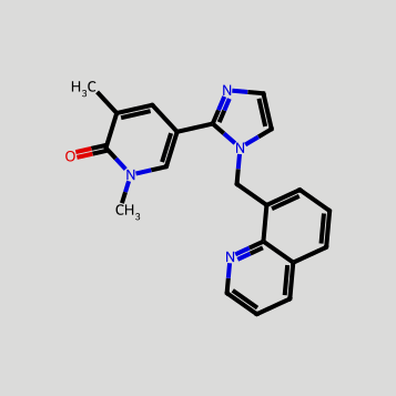 Cc1cc(-c2nccn2Cc2cccc3cccnc23)cn(C)c1=O